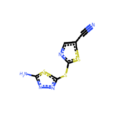 N#Cc1cnc(Sc2nnc(N)s2)s1